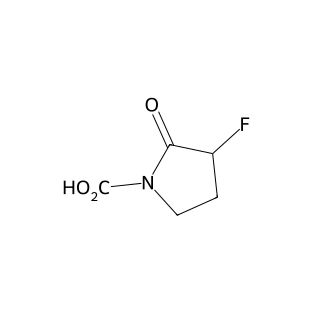 O=C(O)N1CCC(F)C1=O